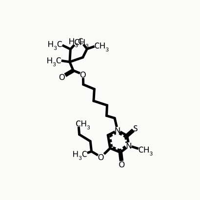 CCCC(C)Oc1cn(CCCCCCOC(=O)C(C)(CC(C)C)C(C)C)c(=S)n(C)c1=O